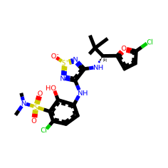 CN(C)S(=O)(=O)c1c(Cl)ccc(Nc2n[s+]([O-])nc2N[C@@H](c2ccc(Cl)o2)C(C)(C)C)c1O